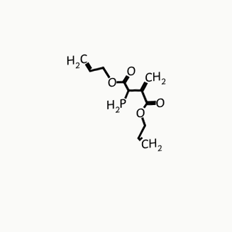 C=CCOC(=O)C(=C)C(P)C(=O)OCC=C